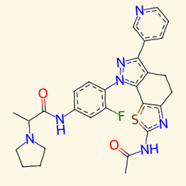 CC(=O)Nc1nc2c(s1)-c1c(c(-c3cccnc3)nn1-c1ccc(NC(=O)C(C)N3CCCC3)cc1F)CC2